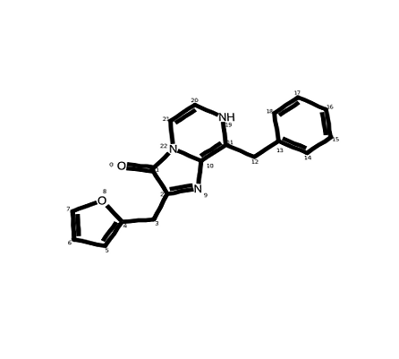 O=c1c(Cc2ccco2)nc2c(Cc3ccccc3)[nH]ccn1-2